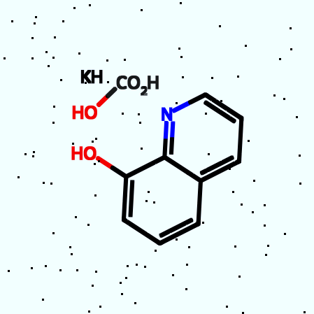 O=C(O)O.Oc1cccc2cccnc12.[KH]